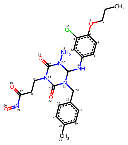 CCCOc1ccc(NC2N(N)C(=O)N(CCC(=O)N=O)C(=O)N2Cc2ccc(C)cc2)cc1Cl